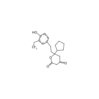 O=C1CC(=O)OC(CCc2ccc(O)c(CC(F)(F)F)c2)(C2CCCC2)C1